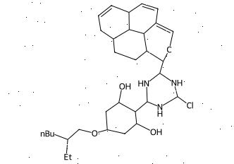 CCCCC(CC)COC1CC(O)C(C2NC(Cl)NC(C3CC=C4C=CC5C=CCC6CCC3C4C56)N2)C(O)C1